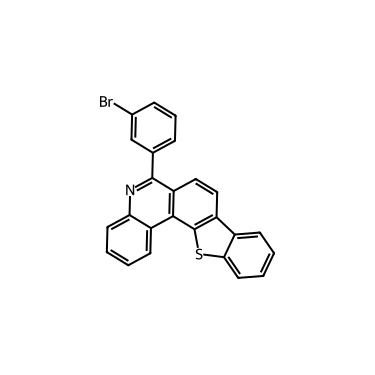 Brc1cccc(-c2nc3ccccc3c3c2ccc2c4ccccc4sc23)c1